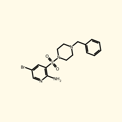 Nc1ncc(Br)cc1S(=O)(=O)N1CCN(Cc2ccccc2)CC1